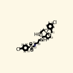 C#CCOc1ccc(Cl)cc1CN1CCC(C(=O)NCC/C=C/S(=O)(=O)c2ccc(Cl)cc2)C1